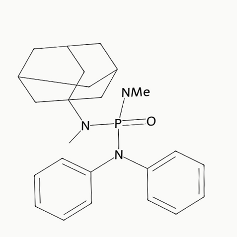 CNP(=O)(N(c1ccccc1)c1ccccc1)N(C)C12CC3CC(CC(C3)C1)C2